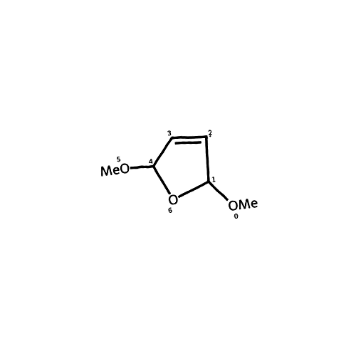 COC1[C]=CC(OC)O1